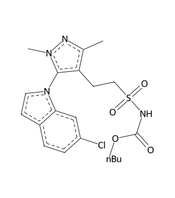 CCCCOC(=O)NS(=O)(=O)CCc1c(C)nn(C)c1-n1ccc2ccc(Cl)cc21